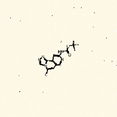 CC(C)(C)OC(=O)Nc1cc2c(cn1)cc(Cl)n1cnnc21